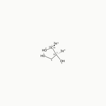 [2H][13C@H](O)[C@@]([2H])(O)CO